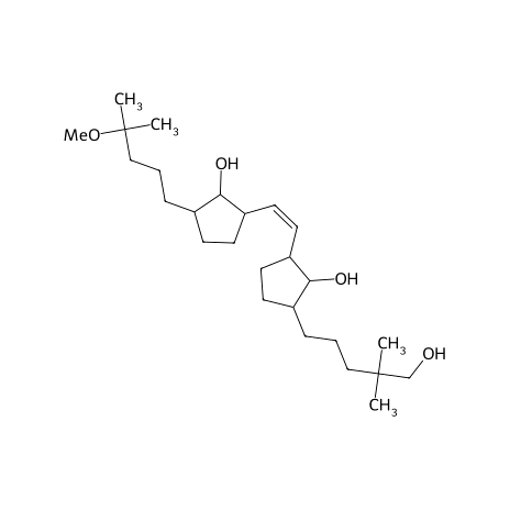 COC(C)(C)CCCC1CCC(/C=C\C2CCC(CCCC(C)(C)CO)C2O)C1O